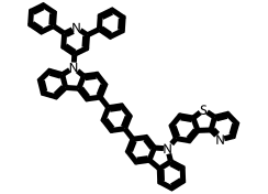 c1ccc(-c2cc(-n3c4ccccc4c4cc(-c5ccc(-c6ccc7c8ccccc8n(-c8ccc9sc%10cccnc%10c9c8)c7c6)cc5)ccc43)cc(-c3ccccc3)n2)cc1